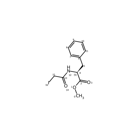 COC(=O)[C@H](Cc1ccccc1)NC(=O)CI